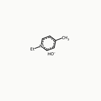 CC[n+]1ccc(C)cc1.[OH-]